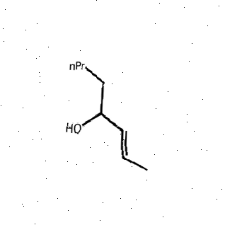 CC=CC(O)CCCC